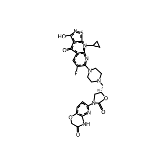 O=C1COc2ccc(N3C[C@H](CN4CCN(c5nc6c(cc5F)c(=O)c5c(O)nsc5n6C5CC5)CC4)OC3=O)nc2N1